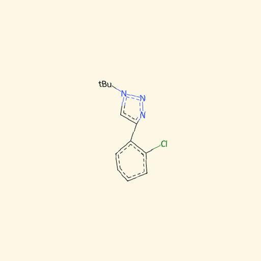 CC(C)(C)n1cc(-c2ccccc2Cl)nn1